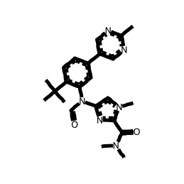 Cc1ncc(-c2ccc(C(C)(C)C)c(N(C=O)c3cn(C)c(C(=O)N(C)C)n3)c2)cn1